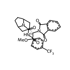 COC(=O)[C@H](C1CC2CCC(C1)N2C(=O)Nc1ccc(C(F)(F)F)cc1)N1C(=O)c2ccccc2C1=O